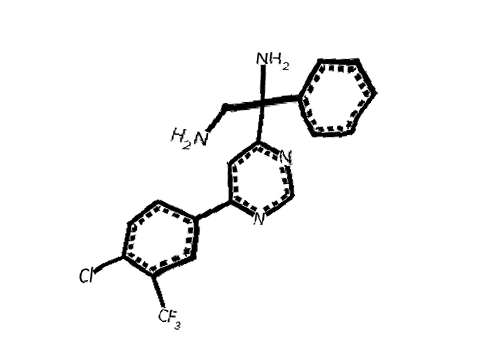 NCC(N)(c1ccccc1)c1cc(-c2ccc(Cl)c(C(F)(F)F)c2)ncn1